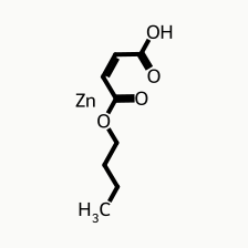 CCCCOC(=O)/C=C\C(=O)O.[Zn]